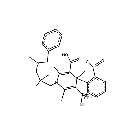 CC1=C(C(=O)O)C(C)(c2c(Cl)cccc2[N+](=O)[O-])C(C(=O)O)=C(C)N1CC(C)(C)CN(C)Cc1ccccc1